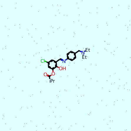 CCN(CC)Cc1ccc(N=Cc2cc(Cl)cc(OC(=O)C(C)C)c2O)cc1